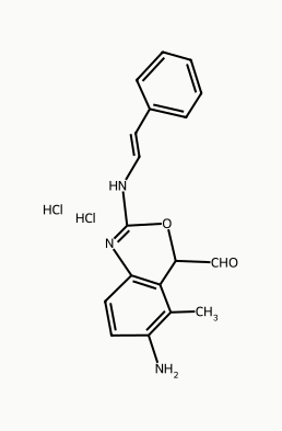 Cc1c(N)ccc2c1C(C=O)OC(NC=Cc1ccccc1)=N2.Cl.Cl